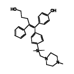 CN1CCN(C[Si](C)(C)c2ccc(/C(=C(/CCCO)c3ccccc3)c3ccc(O)cc3)cc2)CC1